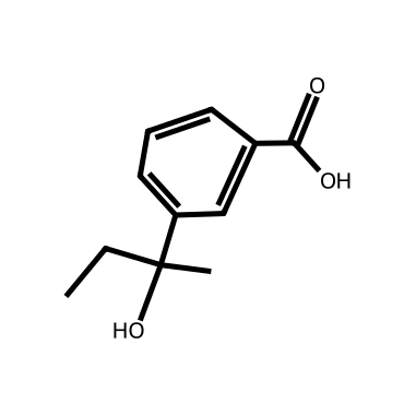 CCC(C)(O)c1cccc(C(=O)O)c1